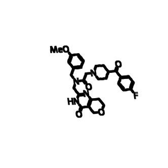 COc1cccc(CN(Cc2nc3c(c(=O)[nH]2)COCC3)C(=O)CN2CCC(C(=O)c3ccc(F)cc3)CC2)c1